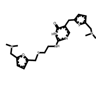 CN(C)Cc1ccc(CSCCNc2ncc(Cc3ccc(CN(C)C)s3)c(=O)[nH]2)o1